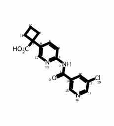 O=C(Nc1ccc(C2(C(=O)O)CCC2)cn1)c1cncc(Cl)c1